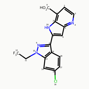 O=C(O)c1ccnc2cc(-c3nn(CC(F)(F)F)c4cc(Cl)ccc34)[nH]c12